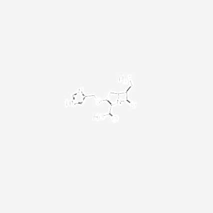 C/C=C1/C(=O)N2C(C(=O)O)=C(SCc3c[nH]cn3)CC12